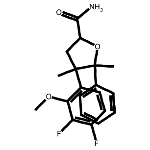 COc1c(C2(C)CC(C(N)=O)OC2(C)c2ccccc2)ccc(F)c1F